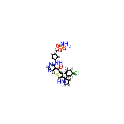 NS(=O)(=O)OC[C@@H]1CC[C@H](Nc2ncncc2C(=O)c2cc(C3(C4=CC(Cl)CC=C4)CCCN3)cs2)C1